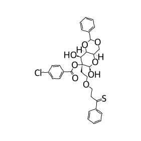 O=C(O[C@@]1(CCOCCC(=S)c2ccccc2)[C@H](O)O[C@@H]2COC(c3ccccc3)O[C@@H]2[C@@H]1O)c1ccc(Cl)cc1